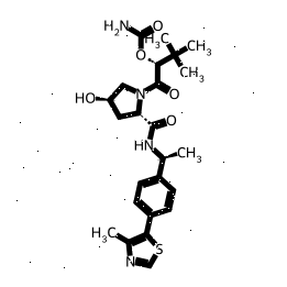 Cc1ncsc1-c1ccc([C@H](C)NC(=O)[C@@H]2C[C@@H](O)CN2C(=O)[C@H](OC(N)=O)C(C)(C)C)cc1